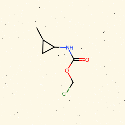 CC1CC1NC(=O)OCCl